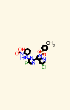 Cc1ccc(S(=O)(=O)n2cc(-c3ncc(F)c(NC4CCCCC4NC(=O)O)n3)c3cc(Cl)cnc32)cc1